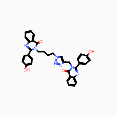 O=c1c2ccccc2nc(-c2ccc(O)cc2)n1CCCCn1cc(Cn2c(-c3ccc(O)cc3)nc3ccccc3c2=O)nn1